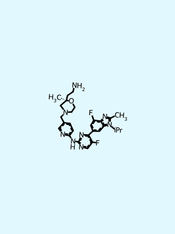 Cc1nc2c(F)cc(-c3nc(Nc4ccc(CN5CCO[C@](C)(CCN)C5)cn4)ncc3F)cc2n1C(C)C